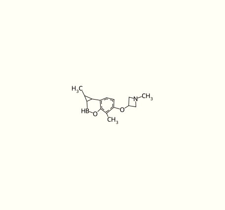 Cc1c(OC2CN(C)C2)ccc2c1OBC1C(C)C21